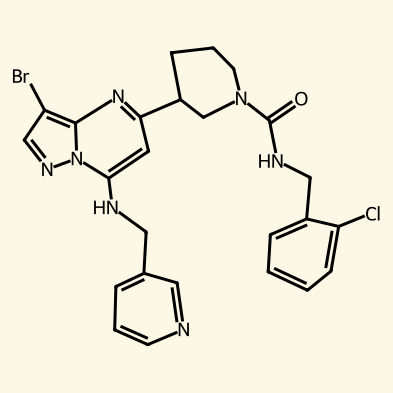 O=C(NCc1ccccc1Cl)N1CCCC(c2cc(NCc3cccnc3)n3ncc(Br)c3n2)C1